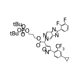 CC(C)(C)OP(=O)(OCCCOC(=O)C(c1cc(-c2ccc(C3CC3)cc2C(F)(F)F)no1)n1cc2nc(-c3cccc(F)c3F)nc-2cn1)OC(C)(C)C